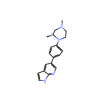 C[C@H]1CN(C)CCN1c1ccc(-c2cnc3[nH]ccc3c2)cc1